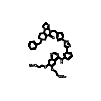 COCCOc1cc2ncnc(Nc3cccc(-c4cn(-c5ccc(CN6C(=O)C7=C(CCN(Cc8ccccc8)C7)N7CCN=C67)cc5)nn4)c3)c2cc1OCCOC